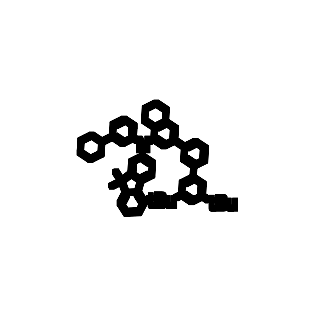 CC(C)(C)c1cc(-c2cccc(-c3cc4c(c(N(c5cccc(C6CCCCC6)c5)c5ccc6c(c5)C(C)(C)c5ccccc5-6)c3)CCCC4)c2)cc(C(C)(C)C)c1